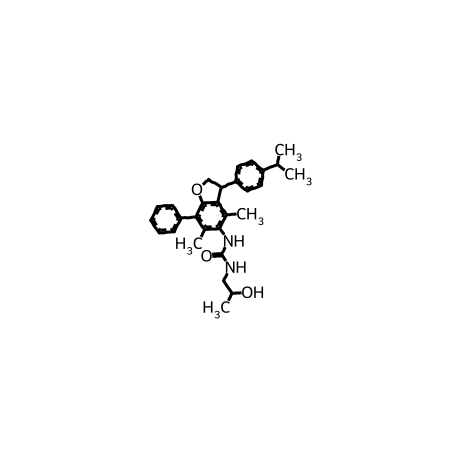 Cc1c(NC(=O)NCC(C)O)c(C)c2c(c1-c1ccccc1)OCC2c1ccc(C(C)C)cc1